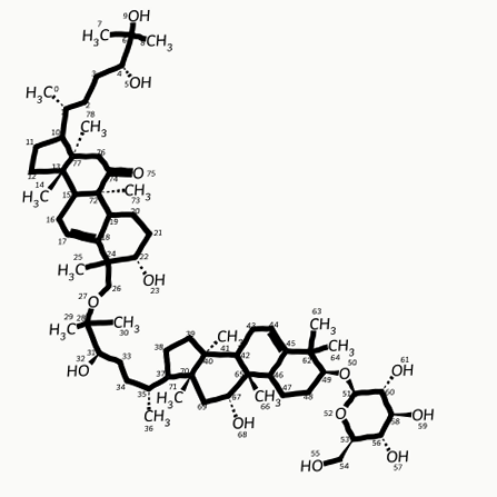 C[C@H](CC[C@@H](O)C(C)(C)O)C1CC[C@@]2(C)C3CC=C4C(CC[C@H](O)C4(C)COC(C)(C)[C@H](O)CC[C@@H](C)C4CC[C@@]5(C)C6CC=C7C(CC[C@H](O[C@@H]8O[C@H](CO)[C@@H](O)[C@H](O)[C@H]8O)C7(C)C)[C@]6(C)[C@H](O)C[C@]45C)[C@]3(C)C(=O)C[C@]12C